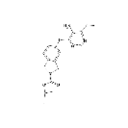 COc1ncnc(Oc2ccc3c(c2)CN(C(=O)OC(C)(C)C)C3)c1N